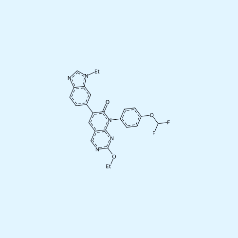 CCOc1ncc2cc(-c3ccc4ncn(CC)c4c3)c(=O)n(-c3ccc(OC(F)F)cc3)c2n1